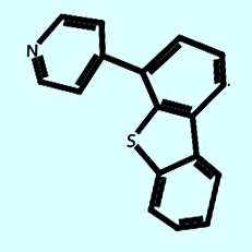 [c]1ccc(-c2ccncc2)c2sc3ccccc3c12